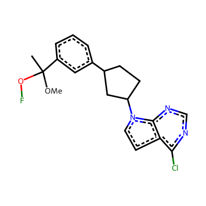 COC(C)(OF)c1cccc(C2CCC(n3ccc4c(Cl)ncnc43)C2)c1